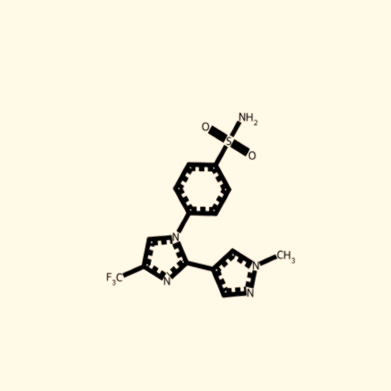 Cn1cc(-c2nc(C(F)(F)F)cn2-c2ccc(S(N)(=O)=O)cc2)cn1